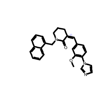 COc1cc(/C=C2/CCCN(Cc3cccc4ccccc34)C2=O)ccc1-n1ccnc1